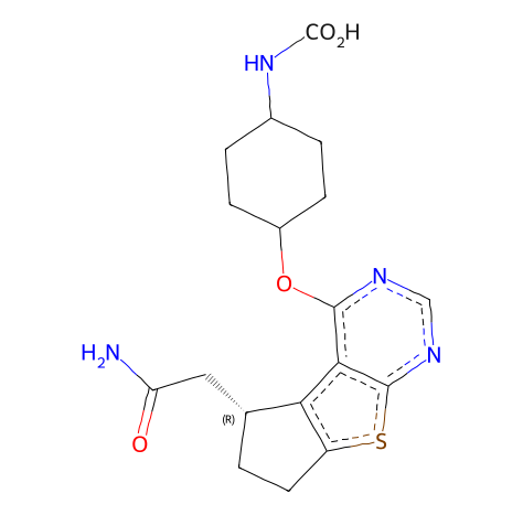 NC(=O)C[C@H]1CCc2sc3ncnc(OC4CCC(NC(=O)O)CC4)c3c21